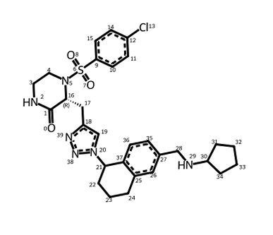 O=C1NCCN(S(=O)(=O)c2ccc(Cl)cc2)[C@@H]1Cc1cn(C2CCCc3cc(CNC4CCCC4)ccc32)nn1